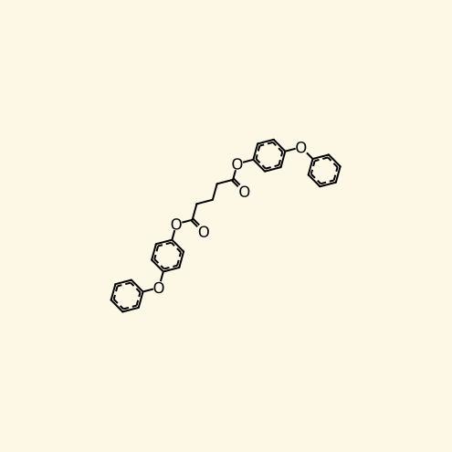 O=C(CCCC(=O)Oc1ccc(Oc2ccccc2)cc1)Oc1ccc(Oc2ccccc2)cc1